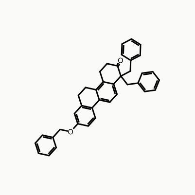 O=C1CCc2c(ccc3c2CCc2cc(OCc4ccccc4)ccc2-3)C1(Cc1ccccc1)Cc1ccccc1